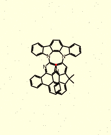 CC1(C)c2ccccc2-c2ccc(-n3c4ccccc4c4ccc5c6ccccc6n(-c6cnc7c8ccccc8c8ccccc8c7n6)c5c43)cc21